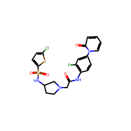 O=C(CN1CCC(NS(=O)(=O)c2ccc(Cl)s2)C1)Nc1ccc(-n2ccccc2=O)cc1F